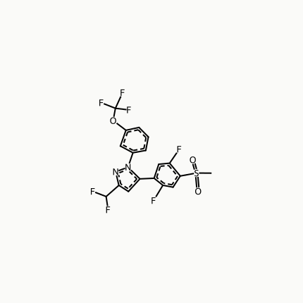 CS(=O)(=O)c1cc(F)c(-c2cc(C(F)F)nn2-c2cccc(OC(F)(F)F)c2)cc1F